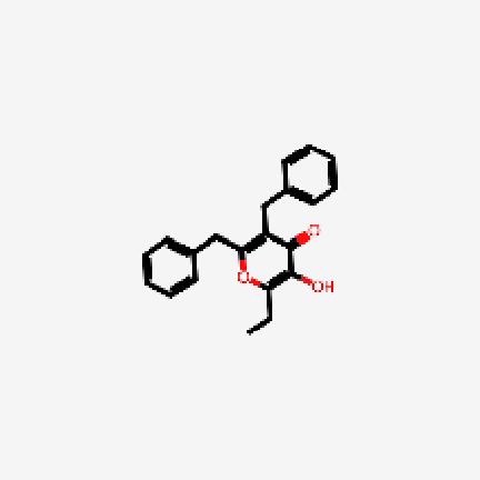 CCc1oc(Cc2ccccc2)c(Cc2ccccc2)c(=O)c1O